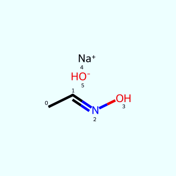 CC=NO.[Na+].[OH-]